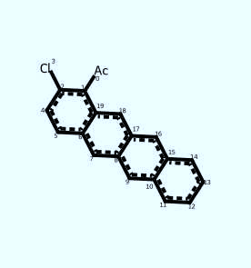 CC(=O)c1c(Cl)ccc2cc3cc4ccccc4cc3cc12